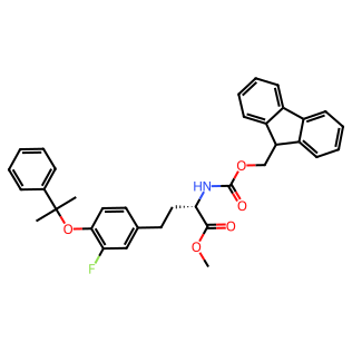 COC(=O)[C@H](CCc1ccc(OC(C)(C)c2ccccc2)c(F)c1)NC(=O)OCC1c2ccccc2-c2ccccc21